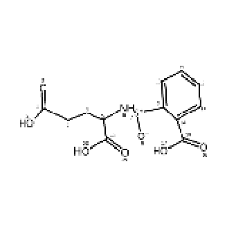 O=C(O)CCC(N[S+]([O-])c1ccccc1C(=O)O)C(=O)O